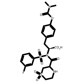 CN(C)C(=O)Oc1ccc(C[C@@H](C(=O)O)N(C(=O)C2CS(=O)(=O)CCN2)S(=O)(=O)c2cccc(F)c2)cc1